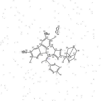 C/[C](c1ccc(C)cc1)=[Zr+2](/[C]1=CC(C2(C)C3CC4CC(C3)CC2C4)=CC1C)[CH]1c2cc(C)c(C(C)(C)C)cc2-c2cc(C(C)(C)C)c(C)cc21.[Cl-].[Cl-]